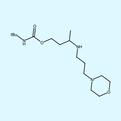 CC(CCOC(=O)NC(C)(C)C)NCCCN1CCOCC1